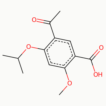 COc1cc(OC(C)C)c(C(C)=O)cc1C(=O)O